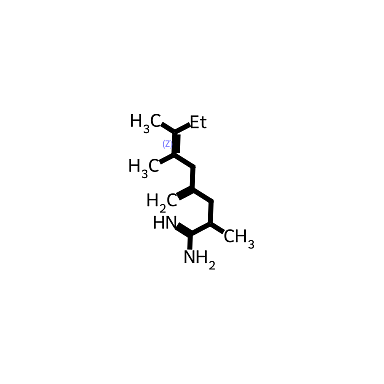 C=C(C/C(C)=C(/C)CC)CC(C)C(=N)N